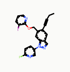 CCC#Cc1cc2cnn(-c3ccc(F)nc3)c2cc1COc1ncccc1I